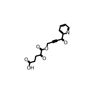 O=C(O)CCC(=O)C(=O)OCC#CC(=O)c1ccccn1